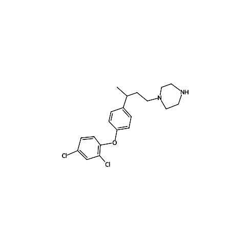 CC(CCN1CCNCC1)c1ccc(Oc2ccc(Cl)cc2Cl)cc1